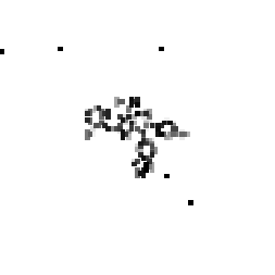 Nc1nc(-c2ccc(F)cc2)c(-c2ccc3nncn3c2)c2nc(Cc3ncccc3F)nn12